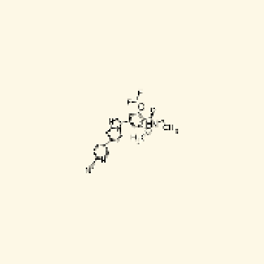 CCNC(=O)c1c(OC)cc(-c2cnc3cc(-c4ccc(C#N)nc4)ccn23)cc1OC(F)F